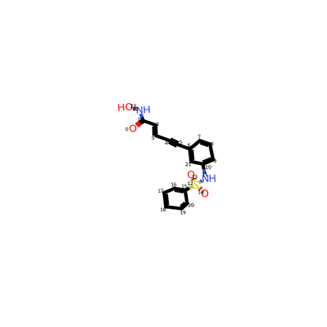 O=C(C=CC#Cc1cccc(NS(=O)(=O)c2ccccc2)c1)NO